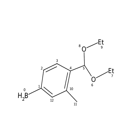 Bc1ccc(C(OCC)OCC)c(C)c1